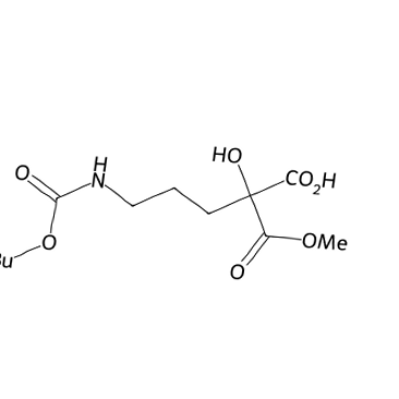 COC(=O)C(O)(CCCNC(=O)OC(C)(C)C)C(=O)O